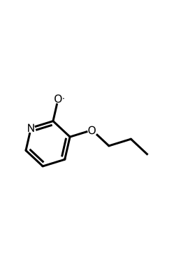 CCCOc1cccnc1[O]